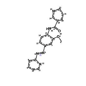 COc1cc(/N=N/c2ccccn2)ccc1NC(=O)c1cccnc1